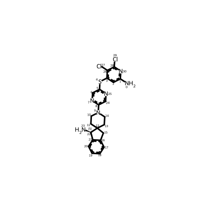 Nc1cc(Sc2cnc(N3CCC4(CC3)Cc3ccccc3[C@H]4N)cn2)c(Cl)c(Cl)n1